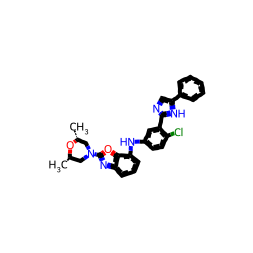 C[C@@H]1CN(c2nc3cccc(Nc4ccc(Cl)c(-c5ncc(-c6ccccc6)[nH]5)c4)c3o2)C[C@H](C)O1